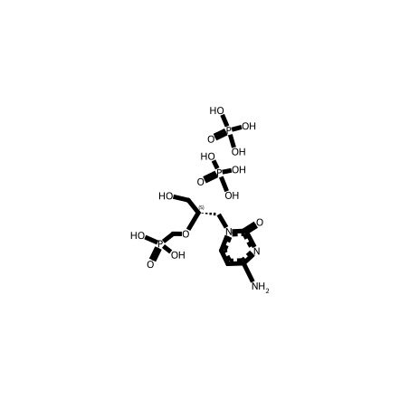 Nc1ccn(C[C@@H](CO)OCP(=O)(O)O)c(=O)n1.O=P(O)(O)O.O=P(O)(O)O